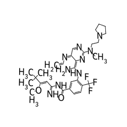 C=C/N=C1/C=NC(N(C)CCN2CCCC2)=N/C1=C(/N)Nc1cc(C(=O)NC(=N)/C=C(\OC)C(C)(C)C)ccc1C(F)(F)F